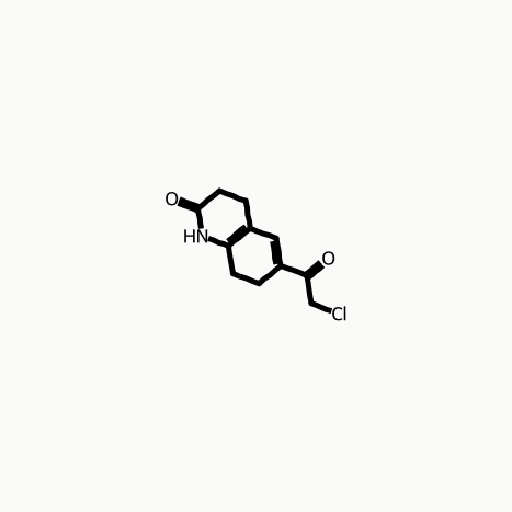 O=C1CCC2=C(CCC(C(=O)CCl)=C2)N1